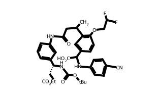 CCOC(=O)C[C@@H](NC(=O)OC(C)(C)C)c1cccc(NC(=O)CC(C)c2cc(C(Nc3ccc(C#N)cc3)C(=O)O)ccc2OCC(F)F)c1